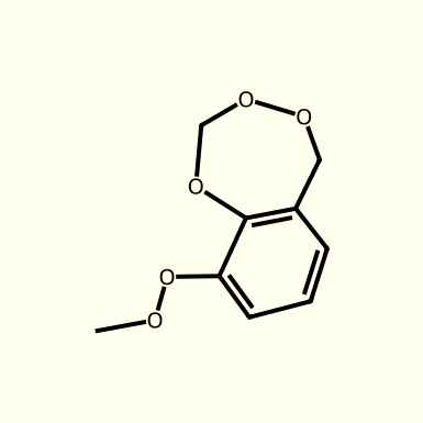 COOc1cccc2c1OCOOC2